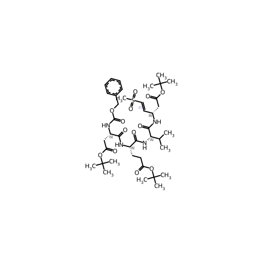 CC(C)[C@H](NC(=O)[C@H](CCC(=O)OC(C)(C)C)NC(=O)[C@H](CC(=O)OC(C)(C)C)NC(=O)OCc1ccccc1)C(=O)N[C@H](/C=C/S(C)(=O)=O)CC(=O)OC(C)(C)C